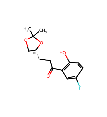 CC1(C)OC[C@@H](CCC(=O)c2cc(F)ccc2O)O1